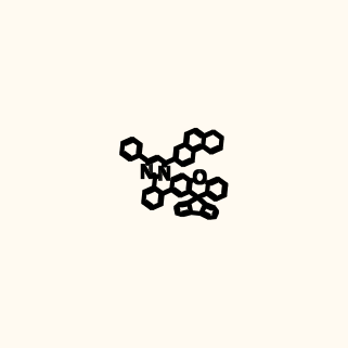 C1=Cc2c(ccc3cc(-c4cc(-c5ccccc5)nc(-c5ccccc5-c5ccc6c(c5)C5(c7ccccc7O6)c6ccccc6-c6ccccc65)n4)ccc23)CC1